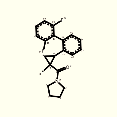 O=C(N1CCCC1)C1(F)CC1c1ccccc1-c1c(F)cccc1F